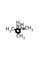 CCNc1cc(C)cc(C)c1N